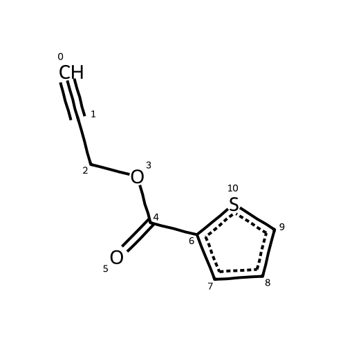 C#CCOC(=O)c1cccs1